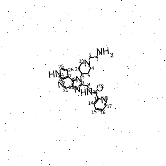 NCCN1CCC(n2c(CNC(=O)c3ccccn3)nc3cnc4[nH]ccc4c32)CC1